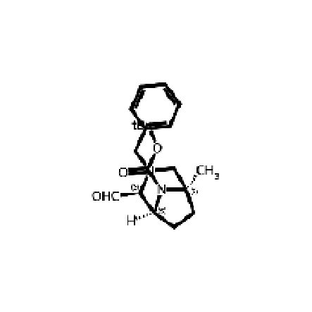 CC(C)(C)OC(=O)N1[C@H]2CC[C@]1(C)CN(Cc1ccccc1)[C@@H]2C=O